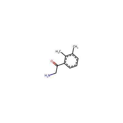 Cc1cccc(C(=O)CN)c1C